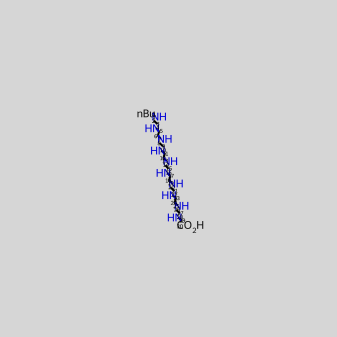 CCCCNCCNCCNCCNCCNCCNCCNCCNCCNCCNCC(=O)O